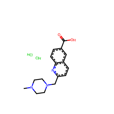 CN1CCN(Cc2ccc3cc(C(=O)O)ccc3n2)CC1.Cl.Cl